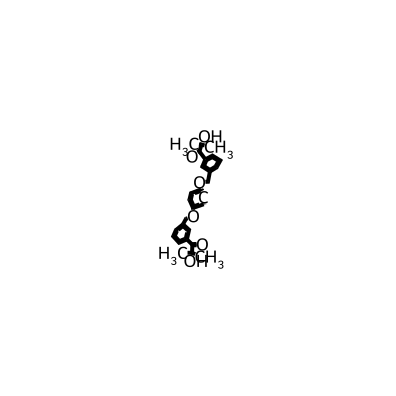 CC(C)(O)C(=O)c1cccc(COc2ccc(OCc3cccc(C(=O)C(C)(C)O)c3)cc2)c1